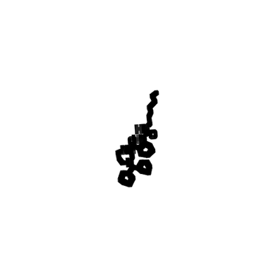 CCCCCCCNC(=O)Nc1ccccc1C(=O)C1CN(C(c2ccccc2)c2ccccc2)CCCN1